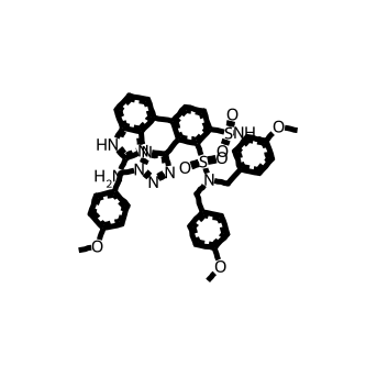 COc1ccc(CN(Cc2ccc(OC)cc2)S(=O)(=O)c2c(S(N)(=O)=O)ccc(-c3cccc4[nH]c(N)nc34)c2-c2nnn(Cc3ccc(OC)cc3)n2)cc1